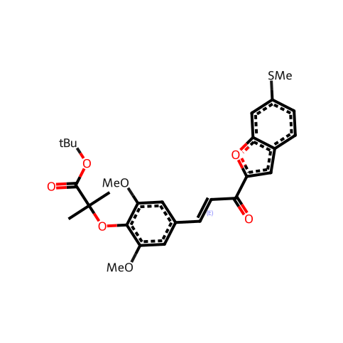 COc1cc(/C=C/C(=O)c2cc3ccc(SC)cc3o2)cc(OC)c1OC(C)(C)C(=O)OC(C)(C)C